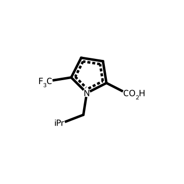 CC(C)Cn1c(C(=O)O)ccc1C(F)(F)F